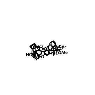 CC[C@]1(O)C[N@@]2CC[C@]34C(=Nc5ccccc53)[C@@](C(=O)OC)(c3cc5c(cc3OC)N(C)[C@H]3[C@@](O)(C(=O)OC)[C@H](OC(C)=O)[C@]6(CC)C=CCN7CC[C@]53[C@@H]76)C[C@H](C2)[C@H]14